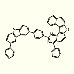 c1ccc(-c2ccc3sc4ccc(-c5ccc(-c6nc(-c7ccccc7)c7ccc8oc9ccc%10ccccc%10c9c8c7n6)cc5)cc4c3c2)cc1